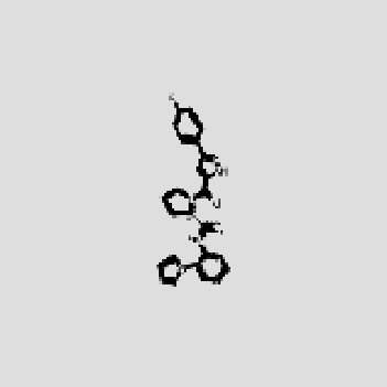 O=C(Nc1ccccc1-n1cccc1)[C@@H]1CCCN1C(=O)c1cc(-c2ccc(F)cc2)n[nH]1